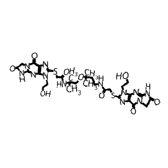 CC(C)(COC(C)(C)CCNC(=O)CSc1nc2c(=O)n3c(nc2n1CCO)NC(=O)C3)NC(=O)CSc1nc2c(=O)n3c(nc2n1CCO)NC(=O)C3